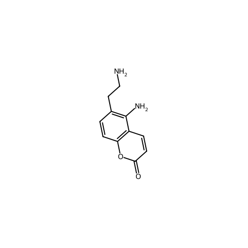 NCCc1ccc2oc(=O)ccc2c1N